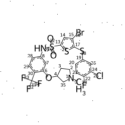 CN1CCC(Oc2cc(NS(=O)(=O)c3cc(Br)c(Sc4ccc(F)c(Cl)c4)s3)ccc2C(F)(F)F)C1